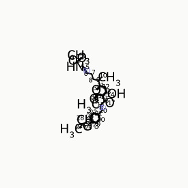 COC(=O)N/C=C/CCC(C)c1cc(O)c(C(=O)/C(C)=C/c2ccc(OC(C)C)cc2)c(=O)o1